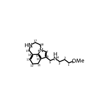 COCCCNCc1cn2c3c1CCC=C3CNCC2